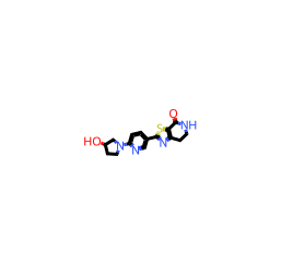 O=C1NCCc2nc(-c3ccc(N4CCC(O)C4)nc3)sc21